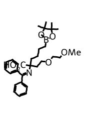 COCCOCCC(CCCCB1OC(C)(C)C(C)(C)O1)(N=C(c1ccccc1)c1ccccc1)C(=O)O